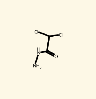 NNC(=O)C(Cl)Cl